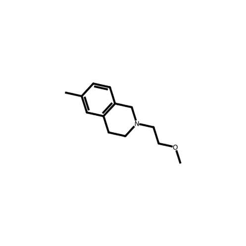 COCCN1CCc2cc(C)ccc2C1